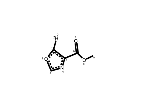 [2H]c1ocnc1C(=O)OC